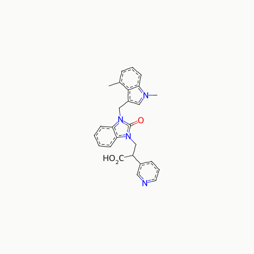 Cc1cccc2c1c(Cn1c(=O)n(CC(C(=O)O)c3cccnc3)c3ccccc31)cn2C